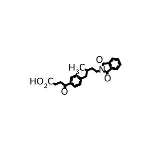 CC(CCN1C(=O)c2ccccc2C1=O)Cc1ccc(C(=O)CCC(=O)O)cc1